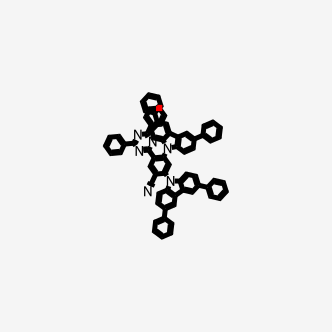 N#Cc1cc(-c2nc(-c3ccccc3)nc(-c3ccccc3)n2)c(-n2c3ccc(-c4ccccc4)cc3c3cc(-c4ccccc4)ccc32)cc1-n1c2ccc(-c3ccccc3)cc2c2cc(-c3ccccc3)ccc21